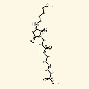 CCCCCNC1CC(=O)N(CCC(=O)NCCOCCC(C)=O)C1=O